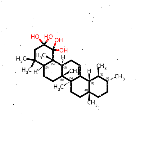 C[C@H]1[C@H](C)CC[C@]2(C)CC[C@]3(C)C(=CC[C@@H]4[C@]5(C)[C@@H](CC[C@]43C)C(C)(C)CC(O)(O)C5(O)O)[C@H]12